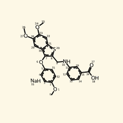 COc1ccc(Oc2c(CNc3cccc(C(=O)O)c3)sc3cc(OC)c(OC)cc23)cc1.[NaH]